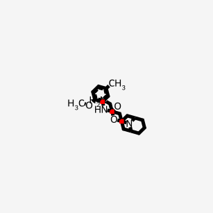 COc1ccc(C)cc1NC(=O)OC1CC2CCCC(C1)N2CCCCN